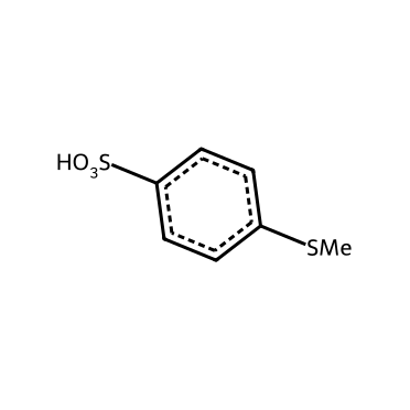 CSc1ccc(S(=O)(=O)O)cc1